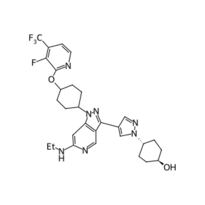 CCNc1cc2c(cn1)c(-c1cnn([C@H]3CC[C@H](O)CC3)c1)nn2C1CCC(Oc2nccc(C(F)(F)F)c2F)CC1